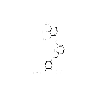 CCCCOc1ccc(OCc2cccc(COc3ccc(C(C)=O)c(O)c3CCC)n2)cc1C(=O)OCC